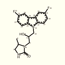 CC1CNC(=O)N1CC(O)Cn1c2ccc(F)cc2c2cc(F)ccc21